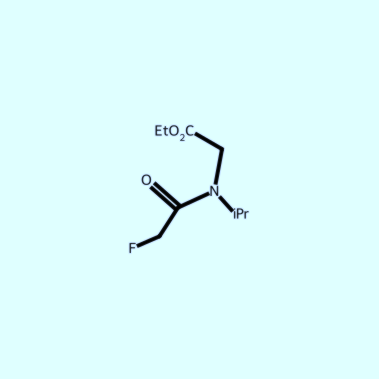 CCOC(=O)CN(C(=O)CF)C(C)C